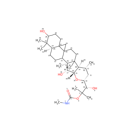 CNC(=O)OC(C)(C)[C@@H](O)[C@H]1C[C@@H](C)[C@H]2[C@H](O1)[C@H](O)[C@@]1(C)C3CC[C@H]4C(C)(C)C(O)CCC45CC35CCC21C